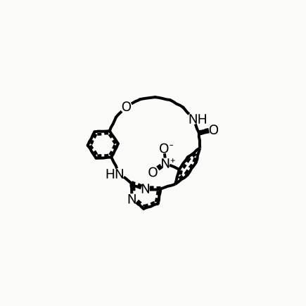 O=C1NCCCCOCc2cccc(c2)Nc2nccc(n2)-c2ccc1cc2[N+](=O)[O-]